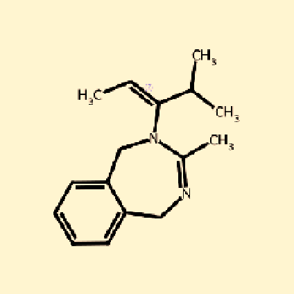 C/C=C(/C(C)C)N1Cc2ccccc2CN=C1C